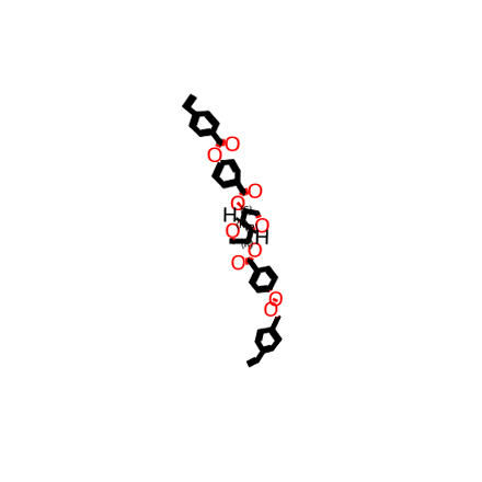 C=Cc1ccc(COOc2ccc(C(=O)O[C@@H]3CO[C@H]4[C@@H]3OC[C@@H]4OC(=O)c3ccc(OC(=O)c4ccc(C=C)cc4)cc3)cc2)cc1